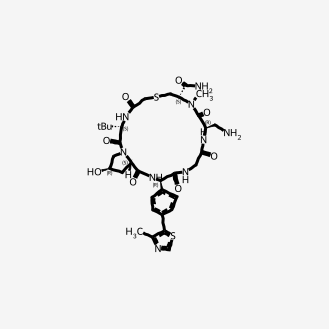 Cc1ncsc1-c1ccc([C@H]2NC(=O)[C@@H]3C[C@@H](O)CN3C(=O)[C@H](C(C)(C)C)NC(=O)CSC[C@H](C(N)=O)N(C)C(=O)[C@@H](CN)NC(=O)CNC2=O)cc1